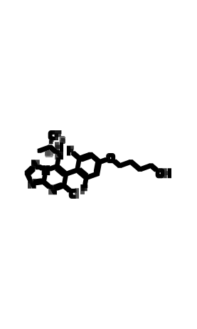 C[C@@H](Nc1c(-c2c(F)cc(OCCCCO)cc2F)c(Cl)nc2ncnn12)C(F)(F)F